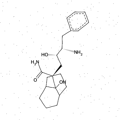 NC(=O)[C@@H](C[C@H](O)[C@@H](N)Cc1ccccc1)C1(O)C2CCCC1CCC2